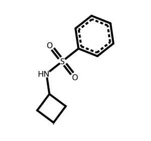 O=S(=O)(NC1C[CH]C1)c1ccccc1